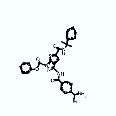 CC(C)C(N)c1ccc(C(=O)Nc2nn(C(=O)Oc3ccccc3)c3sc(C(=O)NC(C)(C)c4ccccc4)cc23)cc1